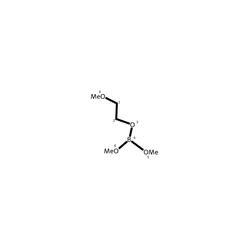 COCCOB(OC)OC